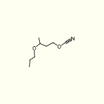 CCCOC(C)CCOC#N